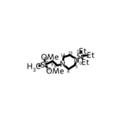 CC[Si](CC)(CC)N1CCN(CC[Si](C)(OC)OC)CC1